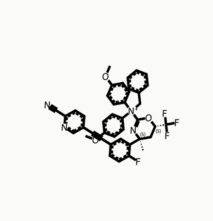 COc1ccc([N+](Cc2ccccc2)(C2=N[C@](C)(c3cc(C#Cc4ccc(C#N)nc4)ccc3F)C[C@@H](C(F)(F)F)O2)c2ccc(OC)cc2)cc1